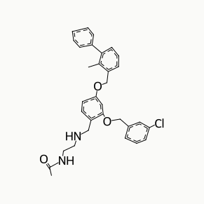 CC(=O)NCCNCc1ccc(OCc2cccc(-c3ccccc3)c2C)cc1OCc1cccc(Cl)c1